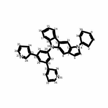 c1ccc(-n2ccc3cc4c(cc32)c2ccccc2n4-c2cc(-c3cccnc3)cc(-c3cccnc3)c2)cc1